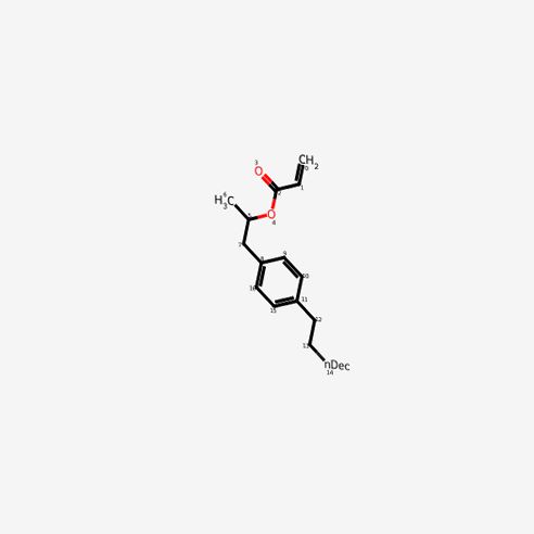 C=CC(=O)O[C](C)Cc1ccc(CCCCCCCCCCCC)cc1